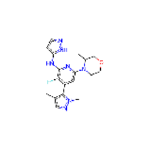 Cc1cnn(C)c1-c1cc(N2CCOCC2C)nc(Nc2ccn[nH]2)c1F